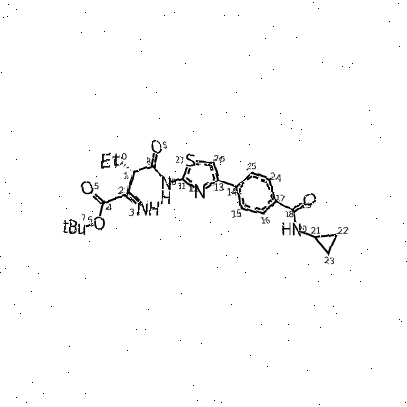 CC[C@@H](C(=N)C(=O)OC(C)(C)C)C(=O)Nc1nc(-c2ccc(C(=O)NC3CC3)cc2)cs1